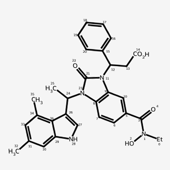 CCN(O)C(=O)c1ccc2c(c1)n(C(CC(=O)O)c1ccccc1)c(=O)n2C(C)c1c[nH]c2cc(C)cc(C)c12